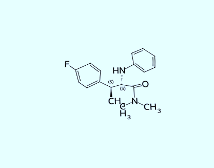 C[C@@H](c1ccc(F)cc1)[C@H](Nc1ccccc1)C(=O)N(C)C